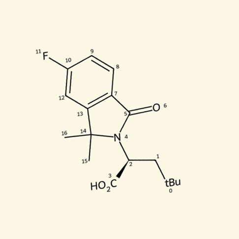 CC(C)(C)C[C@@H](C(=O)O)N1C(=O)c2ccc(F)cc2C1(C)C